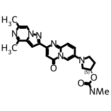 CNC(=O)O[C@H]1CCN(c2ccc3nc(-c4cc5c(C)nc(C)cn5n4)cc(=O)n3c2)C1